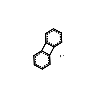 [H+].c1ccc2c(c1)-c1ccccc1-2